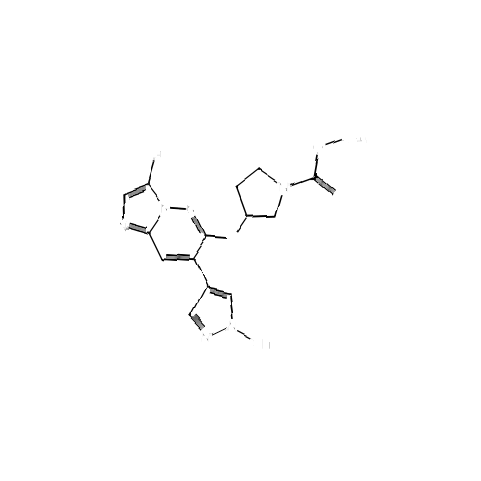 Cn1cc(-c2cc3ncc(Br)n3nc2OC2CCN(C(=O)OC(C)(C)C)C2)cn1